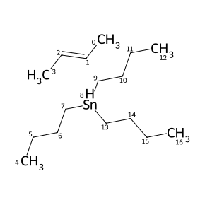 CC=CC.CCC[CH2][SnH]([CH2]CCC)[CH2]CCC